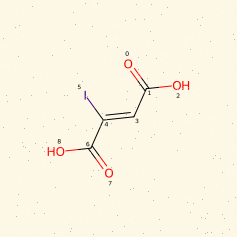 O=C(O)C=C(I)C(=O)O